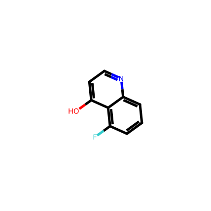 Oc1ccnc2cccc(F)c12